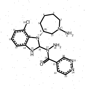 NN1CCCC[C@@H](N2c3c(Cl)cccc3NC2N(N)C(=O)c2ccnnc2)C1